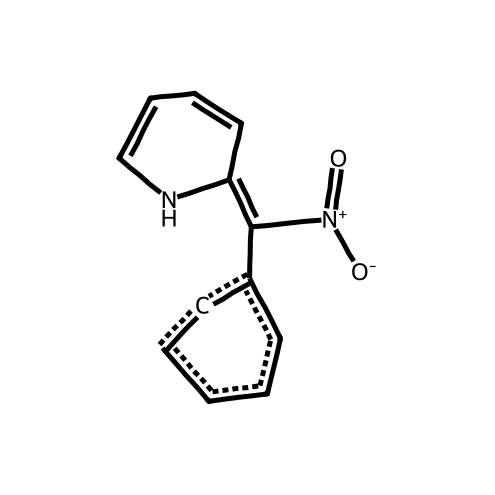 O=[N+]([O-])C(=C1C=CC=CN1)c1ccccc1